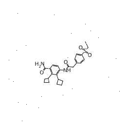 CCS(=O)(=O)c1ccc(CC(=O)Nc2ccc(C(N)=O)c(C3CCC3)c2C2CCC2)cc1